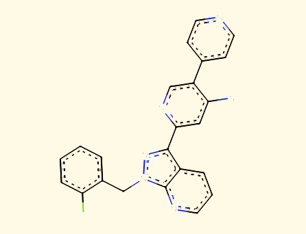 Nc1cc(-c2nn(Cc3ccccc3F)c3ncccc23)ncc1-c1ccncc1